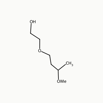 COC(C)CCOCCO